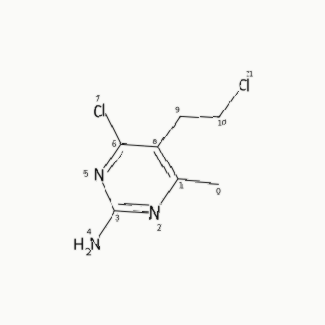 Cc1nc(N)nc(Cl)c1CCCl